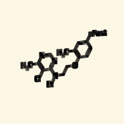 CCCCCc1ccc(OCCN(CC)c2ncnc(C)c2Cl)c(C)c1